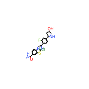 CNC(=O)c1ccc2c(c1)sc1nc(-c3ccc([C@H]4C[C@H](O)CN4)cc3F)cn12.Cl